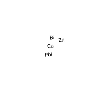 [B].[Cu].[Pb].[Zn]